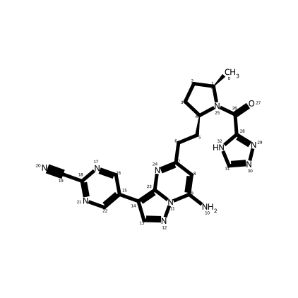 C[C@@H]1CC[C@H](CCc2cc(N)n3ncc(-c4cnc(C#N)nc4)c3n2)N1C(=O)c1nnc[nH]1